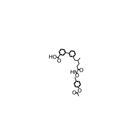 CC(=O)Oc1ccc(CONC(=O)CCC(C)Cc2cccc(-c3cccc(C(=O)O)c3)c2)cc1